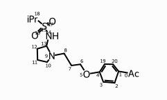 CC(=O)c1ccc(OCCCN2CCCC2NS(=O)(=O)C(C)C)cc1